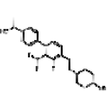 CCCC1CCC(CCc2ccc(-c3ccc(C(C)O)cc3)c(C(F)F)c2F)CC1